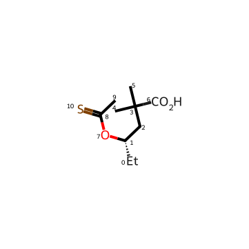 CC[C@@H](CC(C)(C)C(=O)O)OC(C)=S